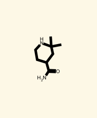 CC1(C)CC(C(N)=O)CCN1